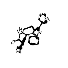 C[C@@H]1C(=O)C(C#N)=C[C@]2(c3ccccc3)c3c(c(-c4cncnc4)nn3C)CC[C@@H]12